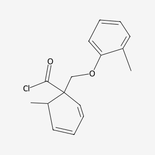 Cc1ccccc1OCC1(C(=O)Cl)C=CC=CC1C